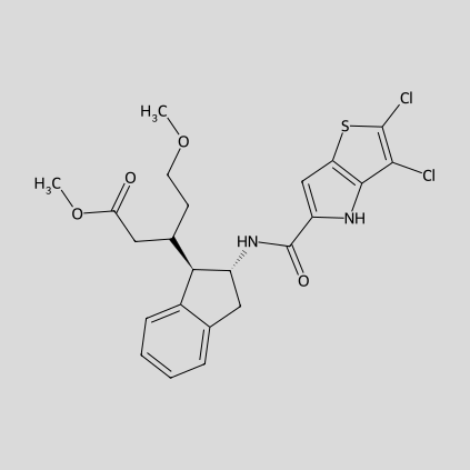 COCCC(CC(=O)OC)[C@@H]1c2ccccc2C[C@H]1NC(=O)c1cc2sc(Cl)c(Cl)c2[nH]1